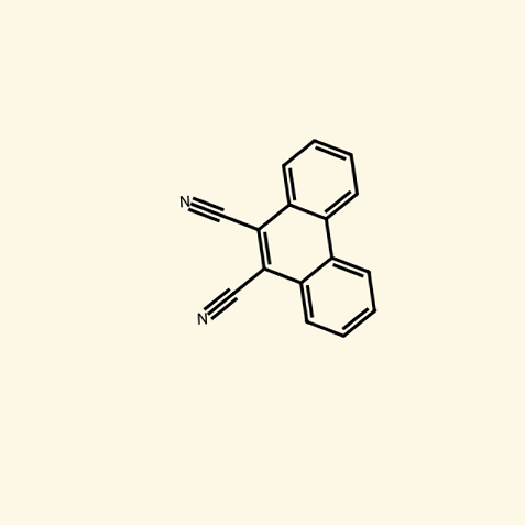 N#Cc1c(C#N)c2ccccc2c2ccccc12